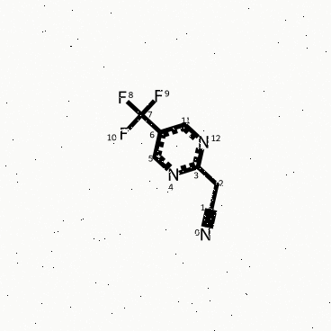 N#CCc1ncc(C(F)(F)F)cn1